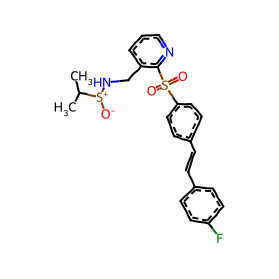 CC(C)[S+]([O-])NCc1cccnc1S(=O)(=O)c1ccc(C=Cc2ccc(F)cc2)cc1